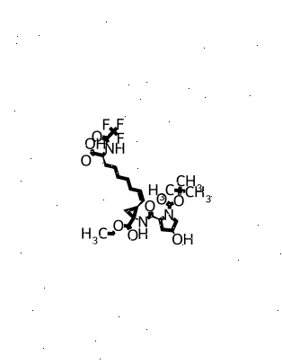 CCOC(=O)[C@@]1(NC(=O)[C@@H]2C[C@@H](O)CN2C(=O)OC(C)(C)C)C[C@H]1/C=C\CCCCC[C@H](NC(=O)C(F)(F)F)C(=O)O